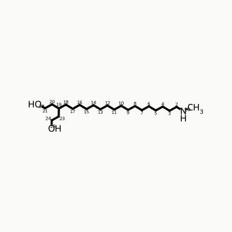 CNCCCCCCCCCCCCCCCCCC(CCO)CCO